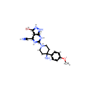 COc1ccc(C2(N)CCN(c3nc(C#N)c4c(Br)n[nH]c4n3)CC2)cc1